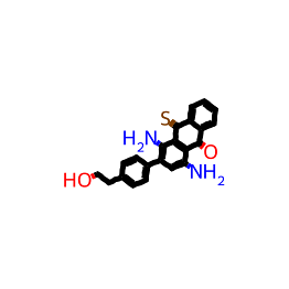 Nc1cc(-c2ccc(CCO)cc2)c(N)c2c1C(=O)c1ccccc1C2=S